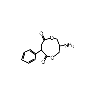 NC1COC(=O)CC(c2ccccc2)C(=O)OC1